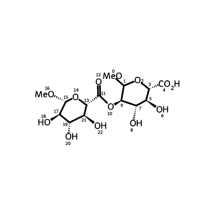 COC1O[C@H](C(=O)O)[C@@H](O)[C@H](O)[C@H]1OC(=O)[C@H]1O[C@@H](OC)[C@H](O)[C@@H](O)[C@@H]1O